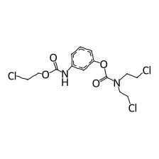 O=C(Nc1cccc(OC(=O)N(CCCl)CCCl)c1)OCCCl